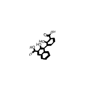 O=C(O)c1cccc(-c2c(O)c(C(=O)O)cc3ccccc23)c1O